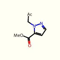 COC(=O)c1ccnn1CC(C)=O